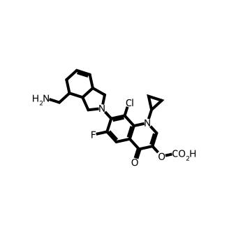 NCC1CC=CC2CN(c3c(F)cc4c(=O)c(OC(=O)O)cn(C5CC5)c4c3Cl)CC21